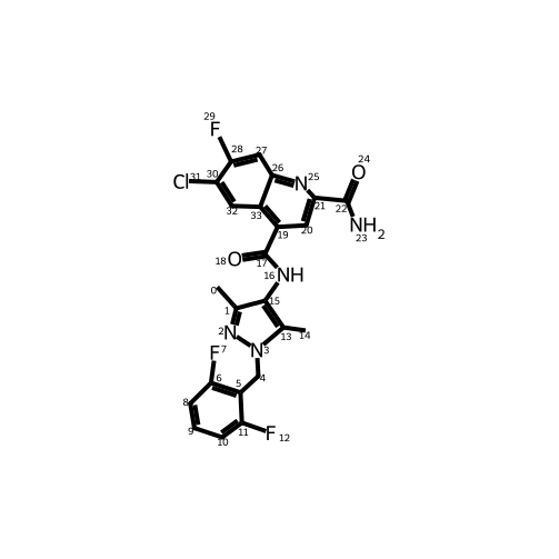 Cc1nn(Cc2c(F)cccc2F)c(C)c1NC(=O)c1cc(C(N)=O)nc2cc(F)c(Cl)cc12